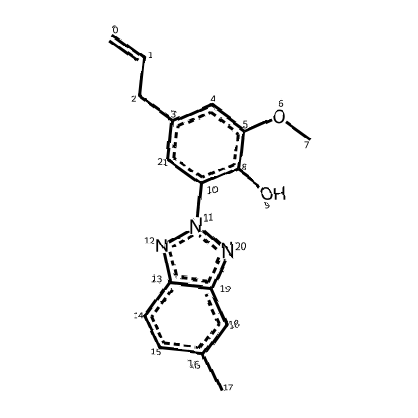 C=CCc1cc(OC)c(O)c(-n2nc3ccc(C)cc3n2)c1